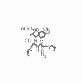 C/C=C\SC[C@H](NC(=O)[C@@H](N)CS/C=C\C)C(=O)O.CCCCCCCC[S+]([O-])C(C)Cc1ccc2c(c1)OCO2